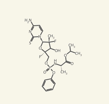 CC(C)OC(=O)[C@H](C)NP(=O)(OC[C@@]1(F)O[C@@H](n2ccc(N)nc2=S)[C@](C)(F)C1O)Oc1ccccc1